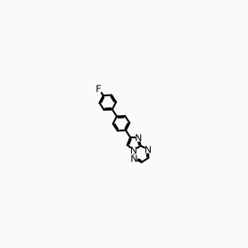 Fc1ccc(-c2ccc(-c3cn4nccnc4n3)cc2)cc1